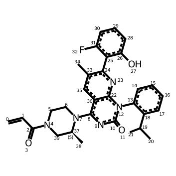 C=CC(=O)N1CCN(c2nc(=O)n(-c3ccccc3C(C)C)c3nc(-c4c(O)cccc4F)c(C)cc23)[C@@H](C)C1